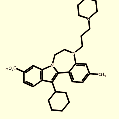 Cc1ccc2c(c1)N(CCCN1CCCCC1)CCn1c-2c(C2CCCCC2)c2ccc(C(=O)O)cc21